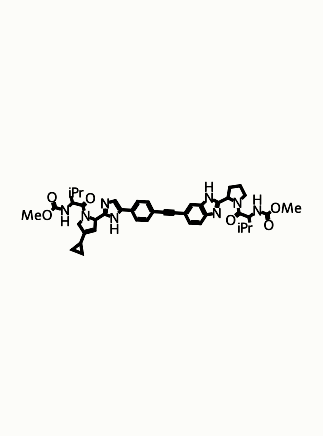 COC(=O)NC(C(=O)N1CC(C2CC2)=CC1c1ncc(-c2ccc(C#Cc3ccc4nc(C5CCCN5C(=O)C(NC(=O)OC)C(C)C)[nH]c4c3)cc2)[nH]1)C(C)C